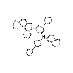 c1ccc(-c2ccc(N(c3cc(-c4ccccc4)cc(-c4cc5ccc6ccccc6c5c5ccccc45)c3)c3ccc4ccccc4c3)cc2)cc1